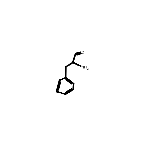 NC(C=O)Cc1ccccc1